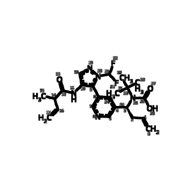 C=CC[C@@H](c1cncc(-c2c(NC(=O)C(C)C=C)cnn2C(F)F)c1)N(C(=O)O)C(C)(C)C